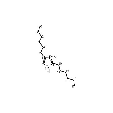 CCCCCCc1c[nH]c(CCCCCC)p1